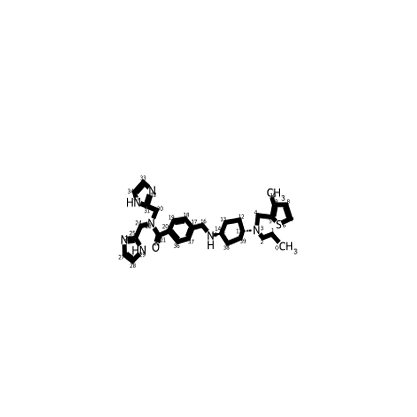 CCCN(Cc1sccc1C)[C@H]1CC[C@H](NCc2ccc(C(=O)N(Cc3ncc[nH]3)Cc3ncc[nH]3)cc2)CC1